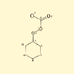 O=C(Cl)OOC1CCCCC1